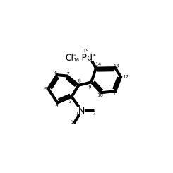 CN(C)c1ccccc1-c1cccc[c]1[Pd+].[Cl-]